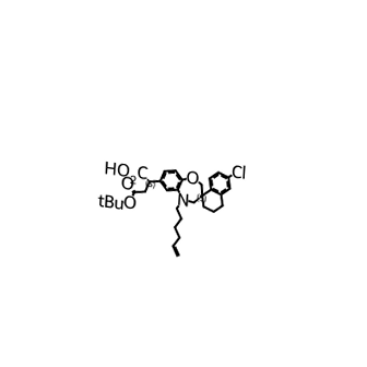 C=CCCCCN1C[C@@]2(CCCc3cc(Cl)ccc32)COc2ccc([C@H](CC(=O)OC(C)(C)C)C(=O)O)cc21